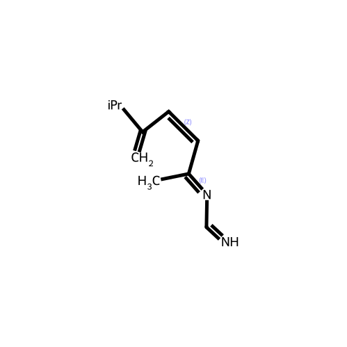 C=C(/C=C\C(C)=N\C=N)C(C)C